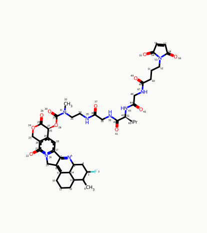 CC1C(F)CC2N=C3C(=C4CCCC1C42)Cn1c3cc2c(c1=O)COC(=O)[C@H]2OC(=O)N(C)CCNC(=O)CNC(=O)[C@@H](NC(=O)CNC(=O)CCCN1C(=O)C=CC1=O)C(C)C